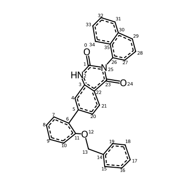 O=c1[nH]c2cc(-c3ccccc3OCc3ccccc3)ccc2c(=O)n1-c1cccc2ccccc12